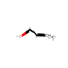 C=CC=O.[C]